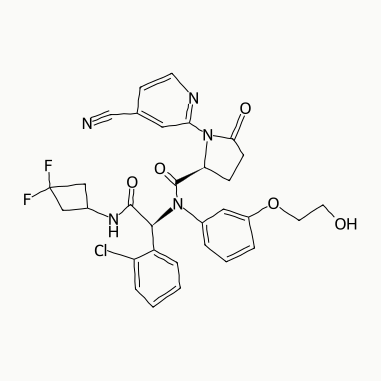 N#Cc1ccnc(N2C(=O)CC[C@H]2C(=O)N(c2cccc(OCCO)c2)[C@H](C(=O)NC2CC(F)(F)C2)c2ccccc2Cl)c1